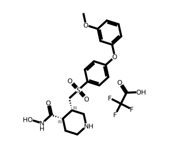 COc1cccc(Oc2ccc(S(=O)(=O)C[C@@H]3CNCC[C@@H]3C(=O)NO)cc2)c1.O=C(O)C(F)(F)F